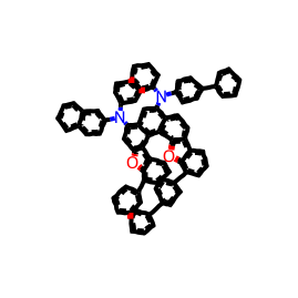 c1ccc(-c2ccc(-c3cccc4c3oc3c4ccc4c(N(c5ccccc5)c5ccc(-c6ccccc6)cc5)cc5c(N(c6ccccc6)c6ccc7ccccc7c6)cc6oc7c(-c8ccccc8)cccc7c6c5c43)cc2)cc1